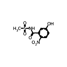 CS(=O)(=O)NC(=O)c1cc(O)ccc1[N+](=O)[O-]